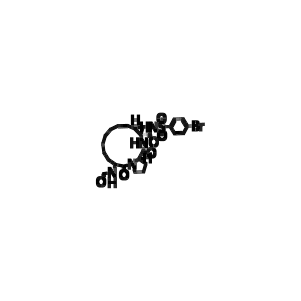 O=CN[C@H]1CCCCC/C=C\[C@@H]2C[C@@]2(C(=O)NS(=O)(=O)c2ccc(Br)cc2)NC(=O)[C@@H]2CCCN2C1=O